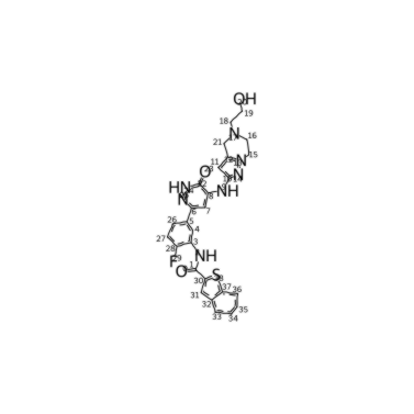 O=C(Nc1cc(-c2cc(Nc3cc4n(n3)CCN(CCO)C4)c(=O)[nH]n2)ccc1F)c1cc2ccccc2s1